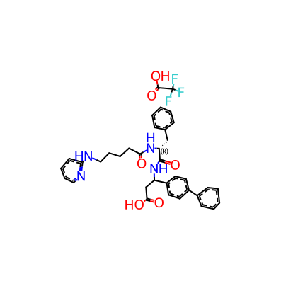 O=C(O)C(F)(F)F.O=C(O)CC(NC(=O)[C@@H](Cc1ccccc1)NC(=O)CCCCNc1ccccn1)c1ccc(-c2ccccc2)cc1